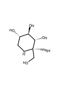 CCCCCCC[C@]1(CO)NC[C@H](O)[C@@H](O)[C@@H]1O